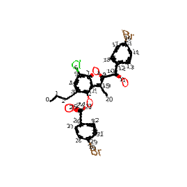 CCCc1cc(Cl)c2oc(C(=O)c3ccc(Br)cc3)c(C)c2c1OC(=O)c1ccc(Br)cc1